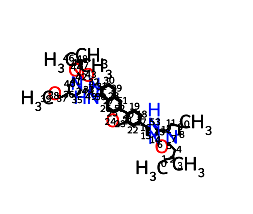 CCC(C)CC(=O)N1C[C@@H](C)CC1c1ncc(-c2ccc3c(c2)COc2cc4c(ccc5nc([C@@H]6CC(COC)CN6C(=O)OC(C)(C)C)[nH]c54)cc2-3)[nH]1